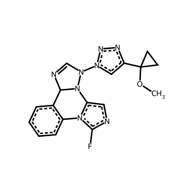 COC1(c2cn(N3C=NC4c5ccccc5-n5c(cnc5F)N43)nn2)CC1